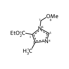 CCOC(=O)c1c(C)ncn1COC